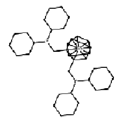 C1CCC(P(C[C]23[CH]4[CH]5[CH]6[C]2(CP(C2CCCCC2)C2CCCCC2)[Fe]54632789[CH]3[CH]2[CH]7[CH]8[CH]39)C2CCCCC2)CC1